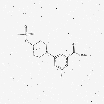 COC(=O)c1cc(F)cc(N2CCC(OS(C)(=O)=O)CC2)c1